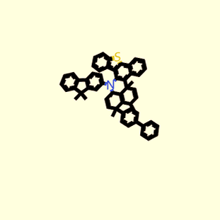 CC1C=CC2(C)C3=C1C(C)(c1ccc(-c4ccccc4)cc1)C=CC3(C)N(c1ccc3c(c1)C(C)(C)c1ccccc1-3)c1c2c2ccccc2c2sc3ccccc3c12